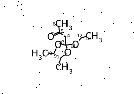 CCOC(CC(C)=O)(OCC)OCC